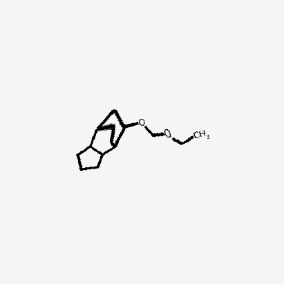 CCOCOC1CC2CC1C1CCCC21